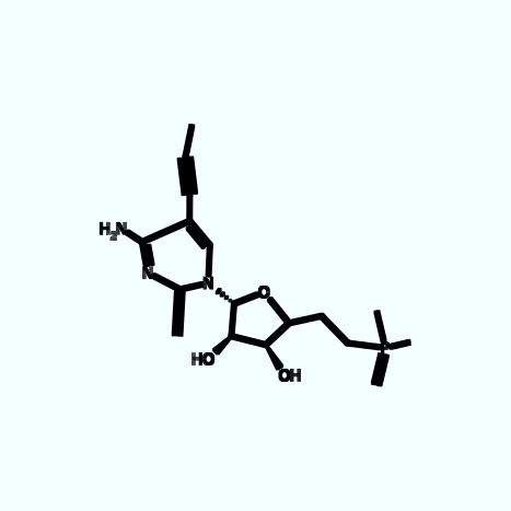 C=C1N=C(N)C(C#CC)=CN1[C@@H]1OC(CCP(=C)(C)C)[C@@H](O)[C@H]1O